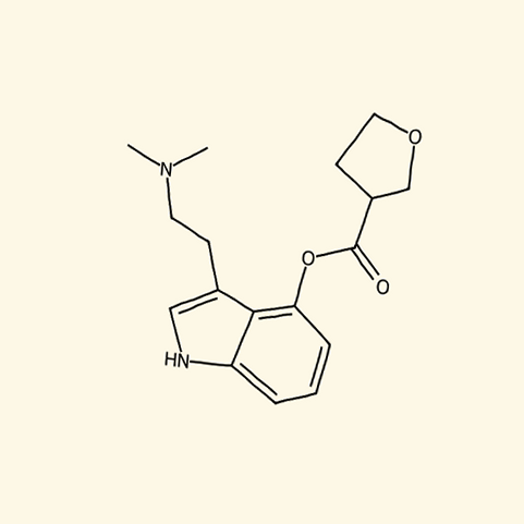 CN(C)CCc1c[nH]c2cccc(OC(=O)C3CCOC3)c12